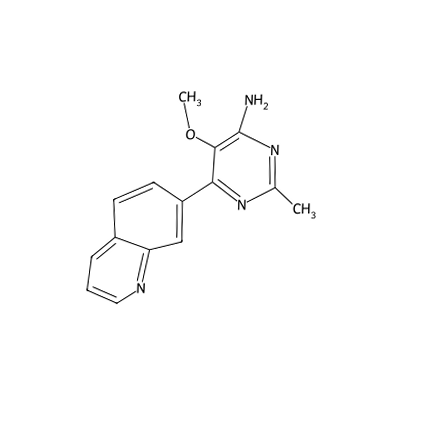 COc1c(N)nc(C)nc1-c1ccc2cccnc2c1